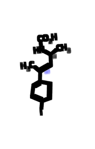 C/C(=C\[C@H](C)NC(=O)O)c1ccc(I)cc1